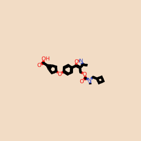 Cc1noc(-c2ccc(OC3CC4C(C3)C4C(=O)O)cc2)c1COC(=O)N(C)CC1CCC1